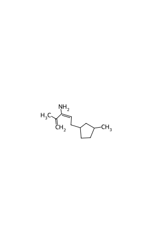 C=C(C)/C(N)=C\CC1CCC(C)C1